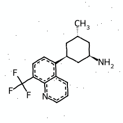 C[C@@H]1C[C@@H](N)C[C@@H](c2ccc(C(F)(F)F)c3ncccc23)C1